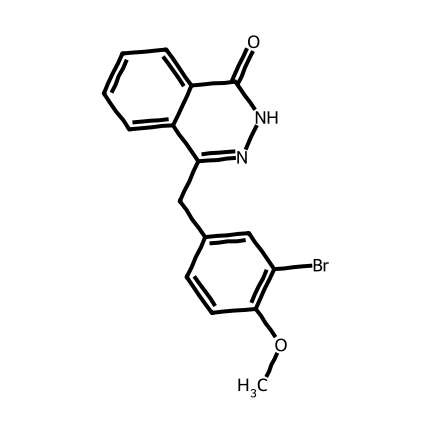 COc1ccc(Cc2n[nH]c(=O)c3ccccc23)cc1Br